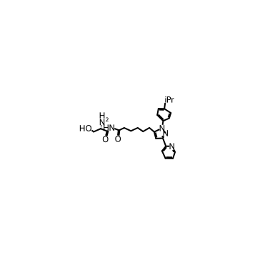 CC(C)c1ccc(-n2nc(-c3ccccn3)cc2CCCCCC(=O)NC(=O)[C@@H](N)CO)cc1